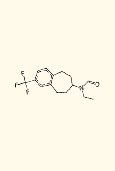 CCN(C=O)C1CCc2ccc(C(F)(F)F)cc2CC1